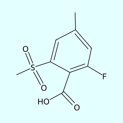 Cc1cc(F)c(C(=O)O)c(S(C)(=O)=O)c1